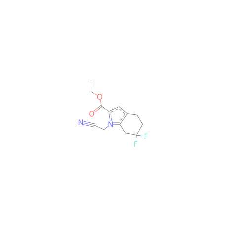 CCOC(=O)c1cc2c(n1CC#N)CC(F)(F)CC2